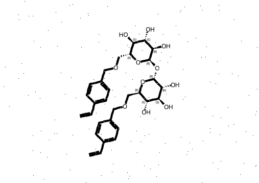 C=Cc1ccc(COC[C@H]2O[C@H](O[C@H]3O[C@H](COCc4ccc(C=C)cc4)[C@@H](O)[C@H](O)[C@H]3O)[C@H](O)[C@@H](O)[C@@H]2O)cc1